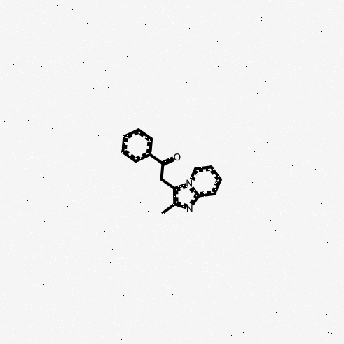 Cc1nc2ccccn2c1CC(=O)c1ccccc1